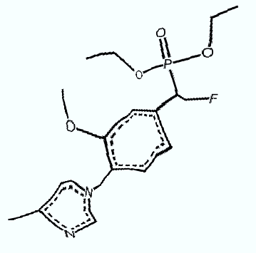 CCOP(=O)(OCC)C(F)c1ccc(-n2cnc(C)c2)c(OC)c1